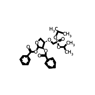 CC(C)OP(=O)(CO[C@H]1COC(OC(=O)c2ccccc2)[C@@H]1OC(=O)c1ccccc1)OC(C)C